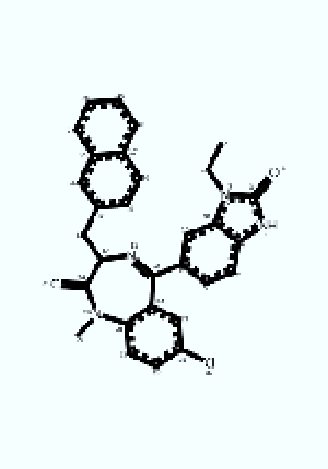 CCn1c(=O)[nH]c2ccc(C3=NC(Cc4ccc5ccccc5c4)C(=O)N(C)c4ccc(Cl)cc43)cc21